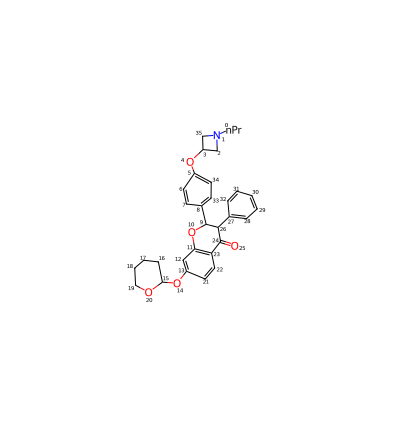 CCCN1CC(Oc2ccc(C3Oc4cc(OC5CCCCO5)ccc4C(=O)C3c3ccccc3)cc2)C1